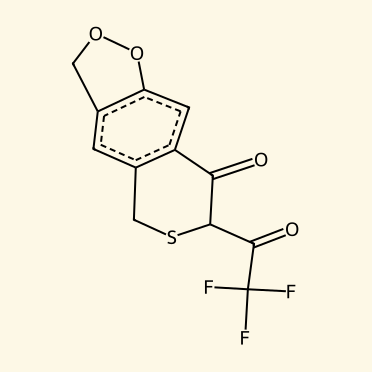 O=C1c2cc3c(cc2CSC1C(=O)C(F)(F)F)COO3